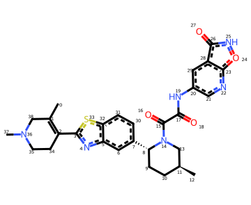 CC1=C(c2nc3cc([C@H]4CC[C@H](C)CN4C(=O)C(=O)Nc4cnc5o[nH]c(=O)c5c4)ccc3s2)CCN(C)C1